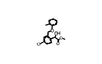 COC(=O)C(O)c1ccc(Cl)cc1COc1ccccc1C